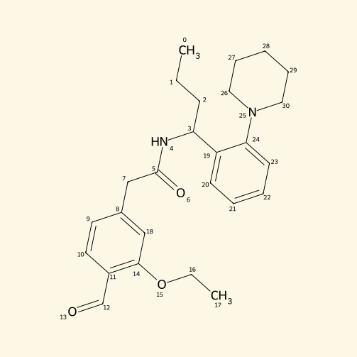 CCCC(NC(=O)Cc1ccc(C=O)c(OCC)c1)c1ccccc1N1CCCCC1